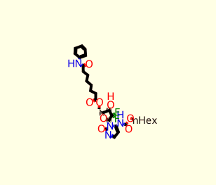 CCCCCCOC(=O)Nc1ccnc(=O)n1[C@@H]1O[C@H](COC(=O)CCCCCCC(=O)Nc2ccccc2)[C@@H](O)C1(F)F